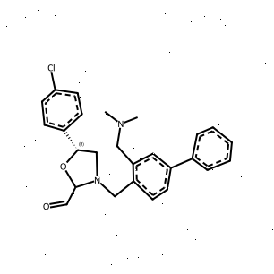 CN(C)Cc1cc(-c2ccccc2)ccc1CN1C[C@@H](c2ccc(Cl)cc2)OC1C=O